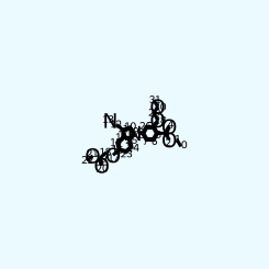 CCOC(=O)c1ccc(-n2cc(C#N)c3cc(OCC(=O)OC)ccc32)cc1OCOC